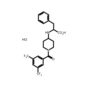 Cl.O=C(O)C(Cc1ccccc1)NC1CCN(C(=O)c2cc(C(F)(F)F)cc(C(F)(F)F)c2)CC1